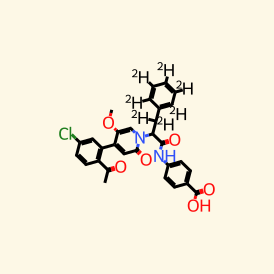 [2H]c1c([2H])c([2H])c(C([2H])([2H])C(C(=O)Nc2ccc(C(=O)O)cc2)n2cc(OC)c(-c3cc(Cl)ccc3C(C)=O)cc2=O)c([2H])c1[2H]